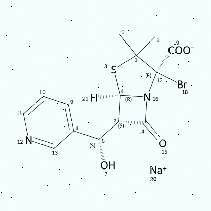 CC1(C)S[C@@H]2[C@@H]([C@H](O)c3cccnc3)C(=O)N2[C@@]1(Br)C(=O)[O-].[Na+]